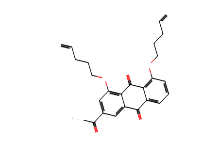 C=CCCCOc1cccc2c1C(=O)c1c(OCCCC=C)cc(C(=O)OC)cc1C2=O